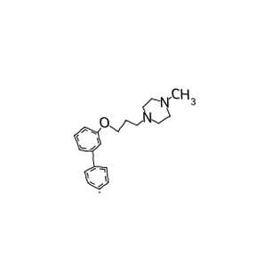 CN1CCN(CCCOc2cccc(-c3cc[c]cc3)c2)CC1